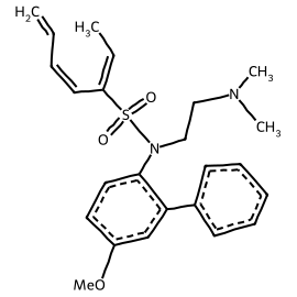 C=C/C=C\C(=C/C)S(=O)(=O)N(CCN(C)C)c1ccc(OC)cc1-c1ccccc1